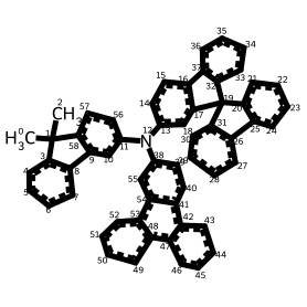 CC1(C)c2ccccc2-c2cc(N(c3ccc4c(c3)C3(c5ccccc5-c5ccccc53)c3ccccc3-4)c3ccc4c5ccccc5c5ccccc5c4c3)ccc21